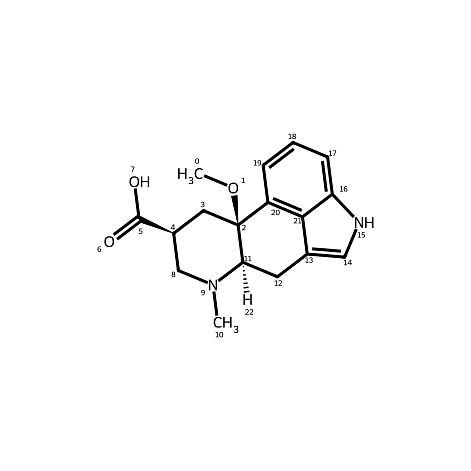 CO[C@]12C[C@H](C(=O)O)CN(C)[C@@H]1Cc1c[nH]c3cccc2c13